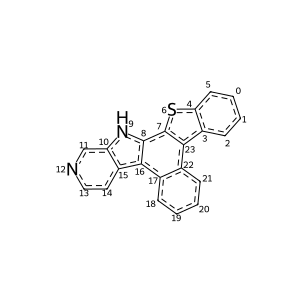 c1ccc2c(c1)sc1c3[nH]c4cnccc4c3c3ccccc3c21